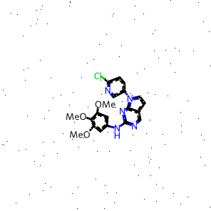 COc1cc(Nc2ncc3ccn(-c4ccc(Cl)nc4)c3n2)cc(OC)c1OC